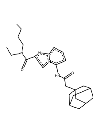 CCCCN(CC)C(=O)c1cn2c(NC(=O)CC34CC5CC(CC(C5)C3)C4)cccc2n1